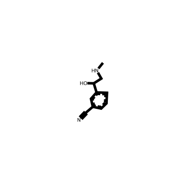 CNCC(O)c1cccc(C#N)c1